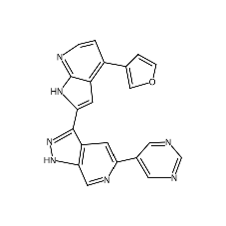 c1ncc(-c2cc3c(-c4cc5c(-c6ccoc6)ccnc5[nH]4)n[nH]c3cn2)cn1